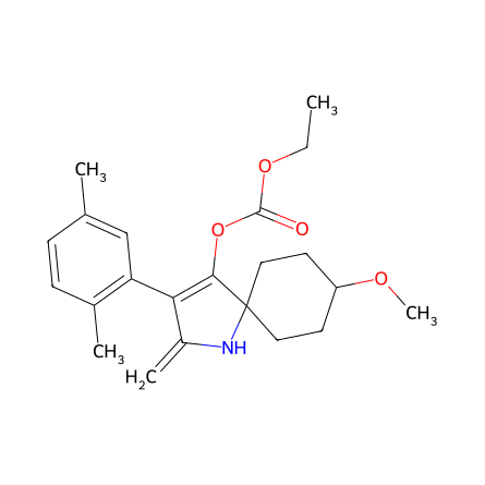 C=C1NC2(CCC(OC)CC2)C(OC(=O)OCC)=C1c1cc(C)ccc1C